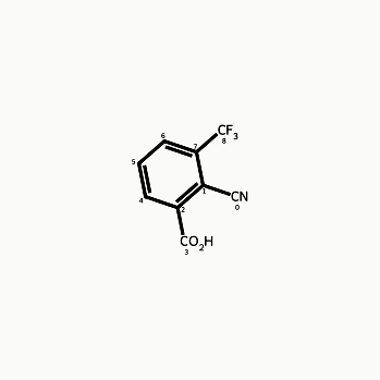 N#Cc1c(C(=O)O)cccc1C(F)(F)F